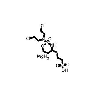 O=P1(N(CCCl)CCCl)NC(SCCS(=O)(=O)O)CCO1.[MgH2]